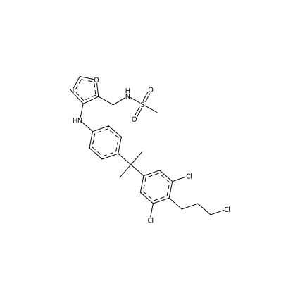 CC(C)(c1ccc(Nc2ncoc2CNS(C)(=O)=O)cc1)c1cc(Cl)c(CCCCl)c(Cl)c1